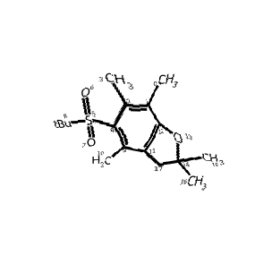 Cc1c(C)c(S(=O)(=O)C(C)(C)C)c(C)c2c1OC(C)(C)C2